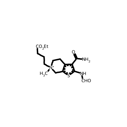 CCOC(=O)CCC[N+]1(C)CCc2c(sc(NC=O)c2C(N)=O)C1